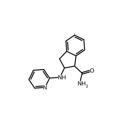 NC(=O)C1c2cc[c]cc2CC1Nc1ccccn1